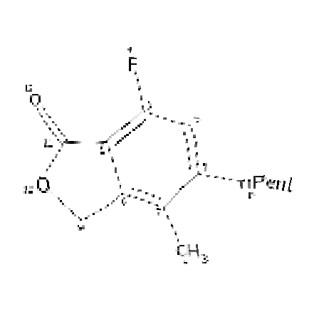 CCCCCc1cc(F)c2c(c1C)COC2=O